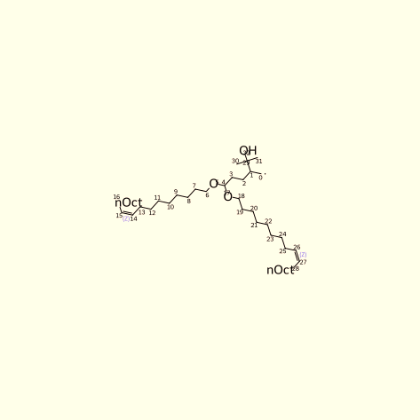 [CH2]C(CCC(OCCCCCCCC/C=C\CCCCCCCC)OCCCCCCCC/C=C\CCCCCCCC)C(C)(C)O